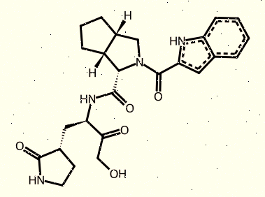 O=C1NCC[C@H]1C[C@@H](NC(=O)[C@@H]1[C@@H]2CCC[C@@H]2CN1C(=O)c1cc2ccccc2[nH]1)C(=O)CO